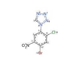 O=[N+]([O-])c1cc(-n2cnnn2)c(Cl)cc1Br